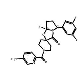 Cc1ccc(C(=O)N2CCC3(CC2)O[C@@H]2CC[C@@H](c4cc(F)cc(F)c4)N2C3=O)nc1